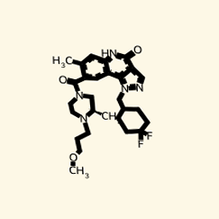 COCCCN1CCN(C(=O)c2cc3c(cc2C)[nH]c(=O)c2cnn(CC4CCC(F)(F)CC4)c23)C[C@H]1C